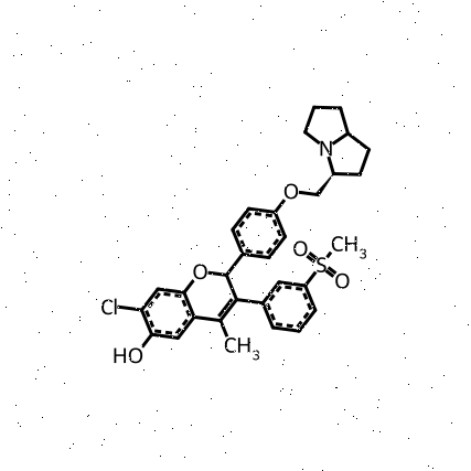 CC1=C(c2cccc(S(C)(=O)=O)c2)C(c2ccc(OC[C@@H]3CCC4CCCN43)cc2)Oc2cc(Cl)c(O)cc21